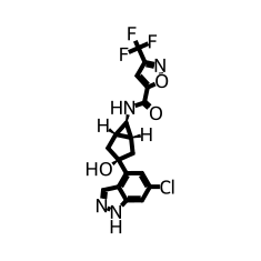 O=C(N[C@H]1[C@@H]2C[C@](O)(c3cc(Cl)cc4[nH]ncc34)C[C@@H]21)c1cc(C(F)(F)F)no1